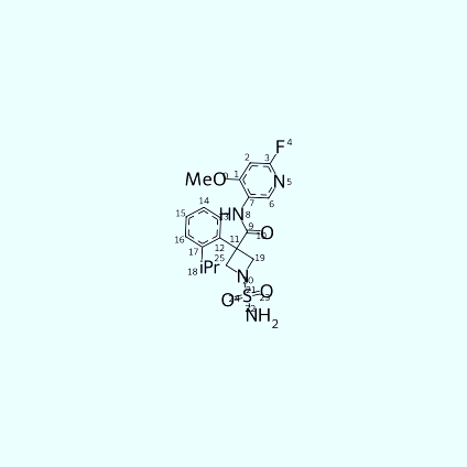 COc1cc(F)ncc1NC(=O)C1(c2ccccc2C(C)C)CN(S(N)(=O)=O)C1